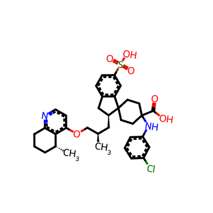 C[C@@H](COc1ccnc2c1[C@H](C)CCC2)C[C@H]1Cc2ccc(S(=O)(=O)O)cc2C12CCC(Nc1cccc(Cl)c1)(C(=O)O)CC2